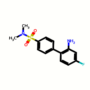 CN(C)S(=O)(=O)c1ccc(-c2ccc(F)cc2N)cc1